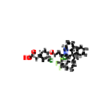 O=C(O)Cc1ccc(OCCCNCC(Cc2cccc(C(F)(F)F)c2Cl)(c2ccccc2)c2ccccc2)c(Cl)c1